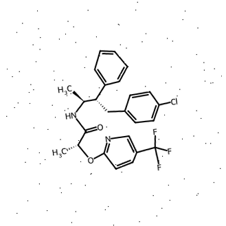 C[C@H](NC(=O)[C@@H](C)Oc1ccc(C(F)(F)F)cn1)[C@@H](Cc1ccc(Cl)cc1)c1ccccc1